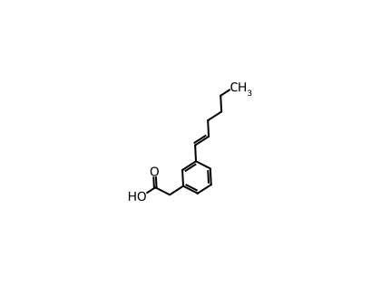 CCCCC=Cc1cccc(CC(=O)O)c1